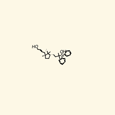 C[C@@H](/C=C/CO)[C@@]1(C)CC[C@@H](CCC(C)(C)[Si](O)(c2ccccc2)c2ccccc2)C1(C)C